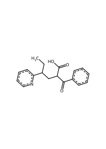 CCC(CC(C(=O)O)C(=O)c1ccccc1)c1ccccn1